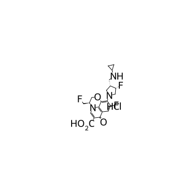 Cl.O=C(O)c1cn2c3c(c(N4C[C@H](CNC5CC5)[C@H](F)C4)c(F)cc3c1=O)OC[C@@H]2CF